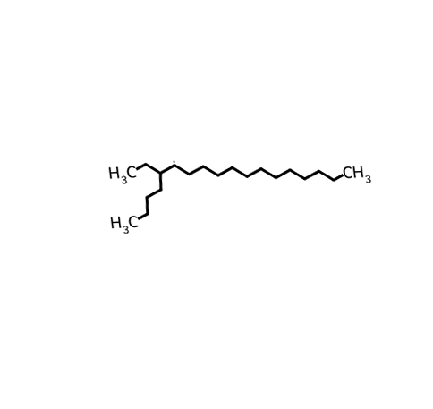 CCCCCCCCCCCC[CH]C(CC)CCCC